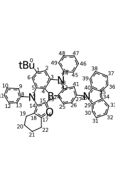 CC(C)(C)c1cc2c3c(c1)N(c1ccccc1)c1c(oc4c1CCCC4)B3c1ccc(-n3c4ccccc4c4ccccc43)cc1N2c1ccccc1